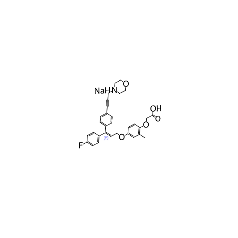 Cc1cc(OC/C=C(/c2ccc(F)cc2)c2ccc(C#CCN3CCOCC3)cc2)ccc1OCC(=O)O.[NaH]